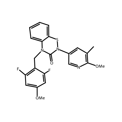 COc1cc(F)c(CN2C(=O)N(c3cnc(OC)c(C)c3)Sc3ccccc32)c(F)c1